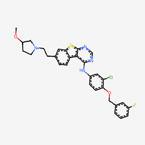 COC1CCN(CCc2ccc3c(c2)sc2ncnc(Nc4ccc(OCc5cccc(F)c5)c(Cl)c4)c23)C1